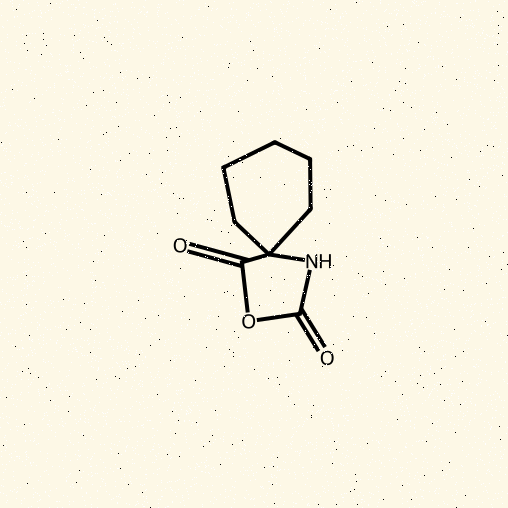 O=C1NC2(CCCCC2)C(=O)O1